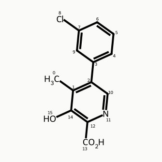 Cc1c(-c2cccc(Cl)c2)cnc(C(=O)O)c1O